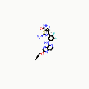 CC#CCOc1cnc2c(Nc3cc(F)c(F)c([C@@]4(C)N=C(N)S[C@@]5(C(N)=O)C[C@H]54)c3)nccc2n1